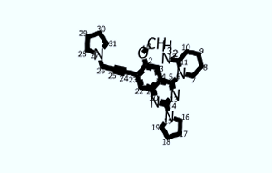 COc1cc2c(N3CCCCC3N)nc(N3CCCC3)nc2cc1C#CCN1CCCC1